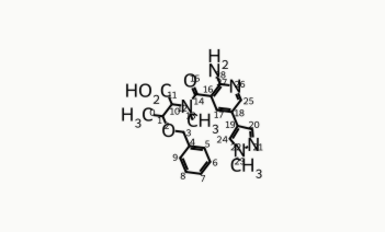 CC(OCc1ccccc1)C(C(=O)O)N(C)C(=O)c1cc(-c2cnn(C)c2)cnc1N